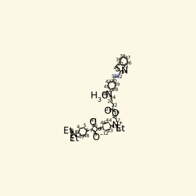 CCN(CC)c1ccc(C2=C([O-])C(=C3C=CC(=[N+](CC)CCOC(=O)CCCN(C)c4ccc(/C=C/c5nc6ccccc6s5)cc4)C=C3)C2=O)cc1